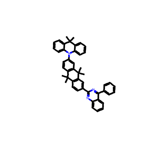 CC1(C)c2ccccc2N(c2ccc3c(c2)C(C)(C)c2cc(-c4nc(-c5ccccc5)c5ccccc5n4)ccc2C3(C)C)c2ccccc21